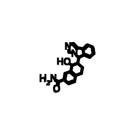 NC(=O)c1ccc2c(c1)C(O)C(C1c3ccccc3-c3cncn31)CC2